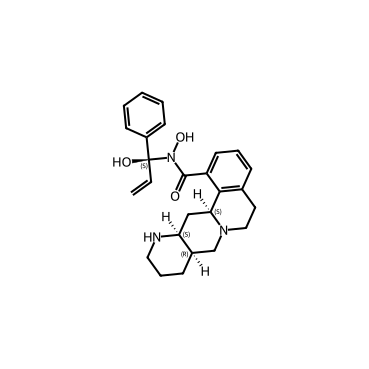 C=C[C@](O)(c1ccccc1)N(O)C(=O)c1cccc2c1[C@@H]1C[C@@H]3NCCC[C@@H]3CN1CC2